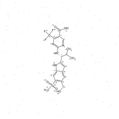 CC(C)[C@@H](Nc1ncc(C(=O)O)c(C(F)(F)F)n1)c1cc2cc(CO)c(S(C)(=O)=O)cc2[nH]1